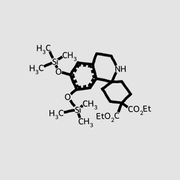 CCOC(=O)C1(C(=O)OCC)CCC2(CC1)NCCc1cc(O[Si](C)(C)C)c(O[Si](C)(C)C)cc12